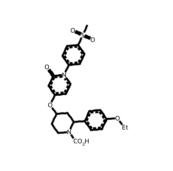 CCOc1ccc(C2CC(Oc3ccn(-c4ccc(S(C)(=O)=O)cc4)c(=O)c3)CCN2C(=O)O)cc1